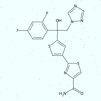 NC(=O)c1csc(-c2csc(C(O)(Cn3cncn3)c3ccc(F)cc3F)c2)n1